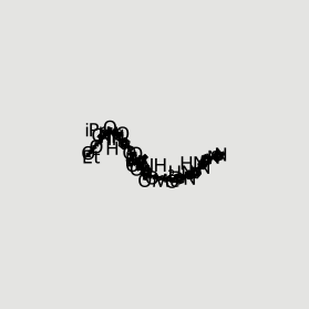 C=C1C[C@@H](C2OCCN2C(=O)OCc2ccc(NC(=O)[C@H](C)NC(=O)[C@@H](NC(=O)CCOCCOCC)C(C)C)cc2)N(C(=O)c2cc(OC)c(OCCCCCOc3ccc(-c4nc5ccc(-c6nc7cc(N8CCN(C)CC8)ccc7[nH]6)cc5[nH]4)cc3)cc2N)C1